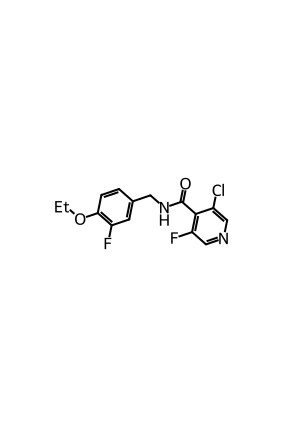 CCOc1ccc(CNC(=O)c2c(F)cncc2Cl)cc1F